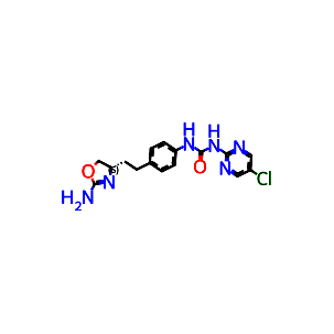 NC1=N[C@@H](CCc2ccc(NC(=O)Nc3ncc(Cl)cn3)cc2)CO1